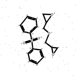 C(OCC1CO1)C1CO1.O=S(=O)(c1ccccc1)c1ccccc1